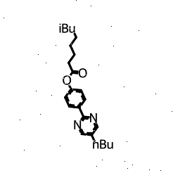 CCCCc1cnc(-c2ccc(OC(=O)CCCCC(C)CC)cc2)nc1